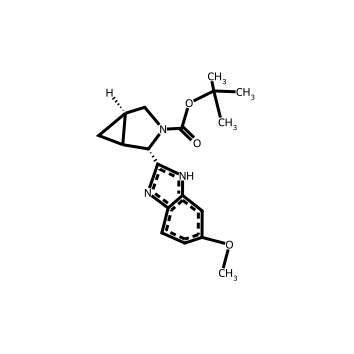 COc1ccc2nc([C@@H]3C4C[C@H]4CN3C(=O)OC(C)(C)C)[nH]c2c1